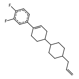 C=CCC1CCC(C2CC=C(c3ccc(F)c(F)c3)CC2)CC1